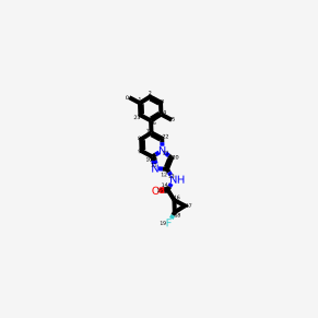 Cc1ccc(C)c(-c2ccc3nc(NC(=O)C4CC4F)cn3c2)c1